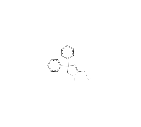 NNC1=NC(c2ccccc2)(c2ccccc2)CN1